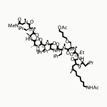 CC[C@H](NC(=O)C(C[C@H](C)CCCCCCNC(C)=O)N(C)C(=O)CC(C)C)C(=O)N(C)[C@H](COCCCCOC(C)=O)C(=O)N(C)[C@@H](CC(C)C)C(=O)N[C@H](C(=O)N(C)[C@@H](CC(C)C)C(=O)N[C@H](C)C(=O)N[C@@H](C)C(=O)N(C)[C@@H](CC(C)C)C(=O)N(C)CC(=O)NC)C(C)C